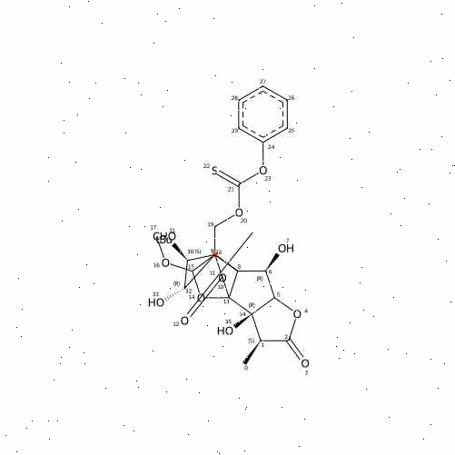 C[C@@H]1C(=O)OC2[C@H](O)C34C5OC(=O)C3(OC(OC=O)C4(COC(=S)Oc3ccccc3)[C@H](C(C)(C)C)[C@H]5O)[C@]21O